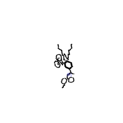 CCCCN(CCCC)c1ccc(/C(C)=C/C(=O)OCC)cc1[N+](=O)[O-]